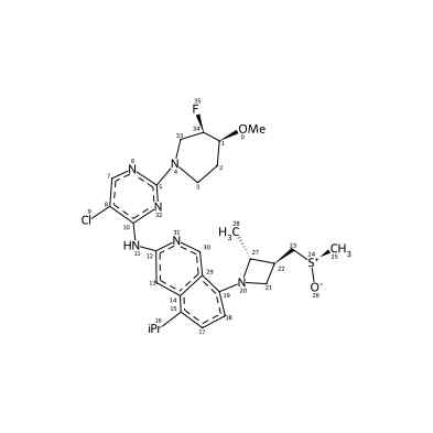 CO[C@H]1CCN(c2ncc(Cl)c(Nc3cc4c(C(C)C)ccc(N5C[C@H](C[S@@+](C)[O-])[C@H]5C)c4cn3)n2)C[C@H]1F